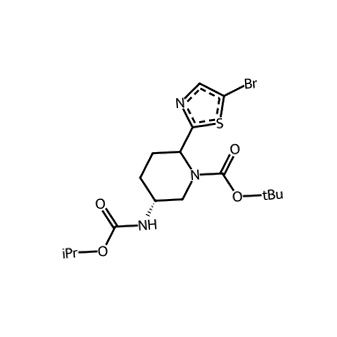 CC(C)OC(=O)N[C@@H]1CCC(c2ncc(Br)s2)N(C(=O)OC(C)(C)C)C1